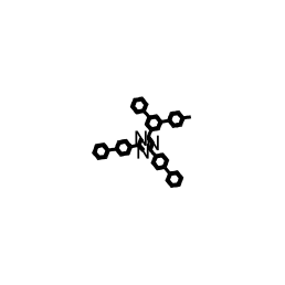 Cc1ccc(-c2cc(-c3ccccc3)cc(-c3nc(-c4ccc(-c5ccccc5)cc4)nc(-c4ccc(-c5ccccc5)cc4)n3)c2)cc1